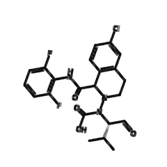 CC(C)[C@@H](C=O)N(C(=O)O)N1CCc2cc(Cl)ccc2C1C(=O)Nc1c(F)cccc1F